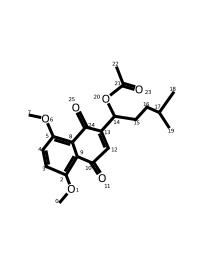 COc1ccc(OC)c2c1C(=O)C=C(C(CCC(C)C)OC(C)=O)C2=O